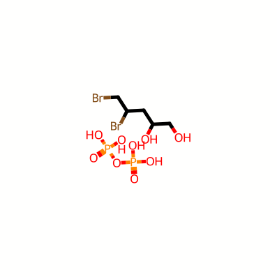 O=P(O)(O)OP(=O)(O)O.OCC(O)CC(Br)CBr